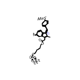 CCOP(=O)(OCC)OCCCCOC(=O)CC1=C(C)/C(=C/c2ccc(SC)cc2)c2ccc(F)cc21